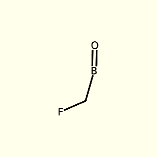 O=BCF